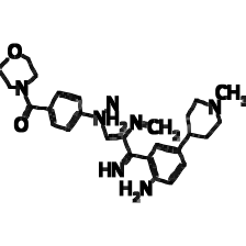 C=N/C(=C\N(N)c1ccc(C(=O)N2CCOCC2)cc1)C(=N)c1cc(C2CCN(C)CC2)ccc1N